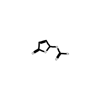 CCC(=O)OC1C=CC(=O)O1